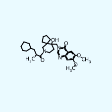 COc1cc2ncn(CC3(O)CCN(C(=O)C(C)CC4CCCCC4)CC34CCCC4)c(=O)c2cc1OC